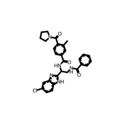 Cc1cc(C(=O)NC(CNC(=O)c2ccccc2)c2nc3cc(Cl)ccc3[nH]2)ccc1C(=O)N1CCCC1